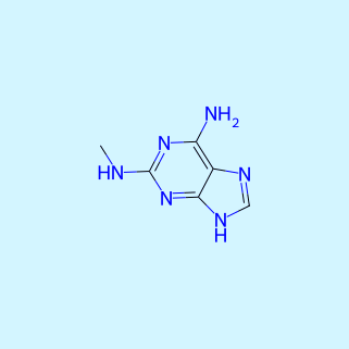 CNc1nc(N)c2nc[nH]c2n1